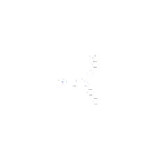 C1=CC(c2nc3ccccc3o2)CC=C1C1C=C(c2ccc(-c3ccccc3)cc2)N=C(c2ccc(-c3ccc4sc5ccccc5c4c3)cc2)N1